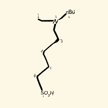 CCCCN(C)CCCCS(=O)(=O)O